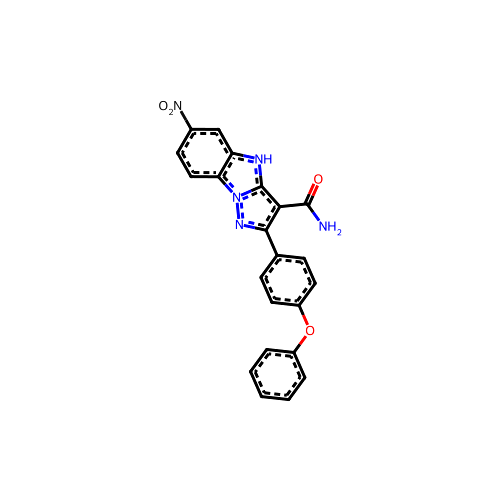 NC(=O)c1c(-c2ccc(Oc3ccccc3)cc2)nn2c1[nH]c1cc([N+](=O)[O-])ccc12